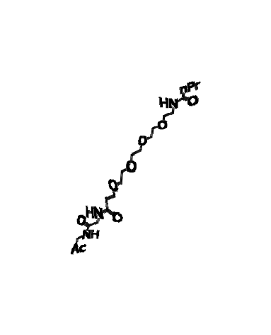 CCCC(=O)NCCOCCOCCOCCOCCC(=O)NCC(=O)NCC(C)=O